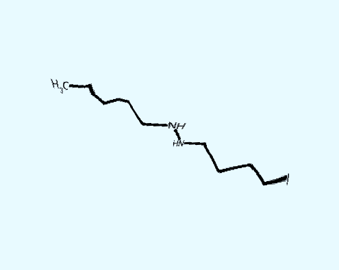 CCCCCNNCCCCI